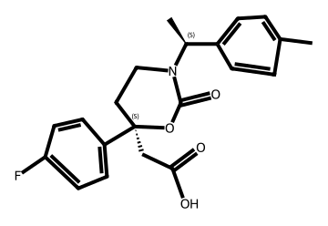 Cc1ccc([C@H](C)N2CC[C@](CC(=O)O)(c3ccc(F)cc3)OC2=O)cc1